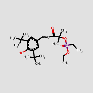 CCOP(=O)(CC)OC(C)(C)C(=O)CCc1cc(C(C)(C)C)c(O)c(C(C)(C)C)c1